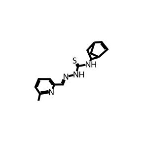 Cc1cccc(C=NNC(=S)NC2CC3C=CC2C3)n1